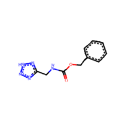 O=C(NCc1nn[nH]n1)OCc1ccccc1